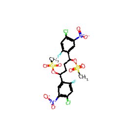 CS(=O)(=O)OC(CCC(OS(C)(=O)=O)c1cc([N+](=O)[O-])c(Cl)cc1F)c1cc([N+](=O)[O-])c(Cl)cc1F